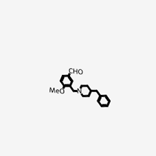 COc1ccc(C=O)cc1CN1CCC(Cc2ccccc2)CC1